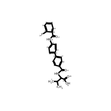 CC(C)C(NC(=O)c1ccc(-c2ccc(NC(=O)c3ccccc3F)cc2)cc1)C(=O)O